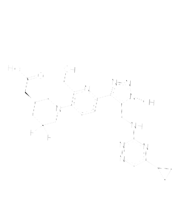 CCc1nc(-c2nnn(C)c2CNc2nncc(C3CC3)n2)ccc1N1C[C@H](CC(=O)O)CC(F)(F)C1